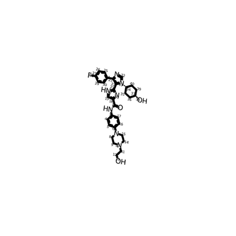 O=C(Nc1ccc(N2CCN(CCO)CC2)cc1)c1c[nH]c(-c2c(-c3ccc(F)cc3)ncn2[C@H]2CC[C@H](O)CC2)n1